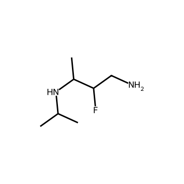 CC(C)NC(C)C(F)CN